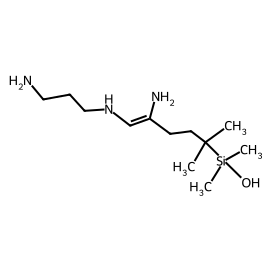 CC(C)(CC/C(N)=C/NCCCN)[Si](C)(C)O